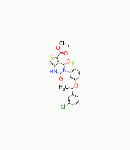 COC(=O)c1scc2[nH]c(=O)n(-c3cc(OC(C)c4cccc(Cl)c4)ccc3F)c(=O)c12